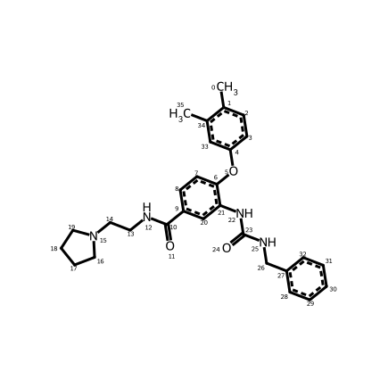 Cc1ccc(Oc2ccc(C(=O)NCCN3CCCC3)cc2NC(=O)NCc2ccccc2)cc1C